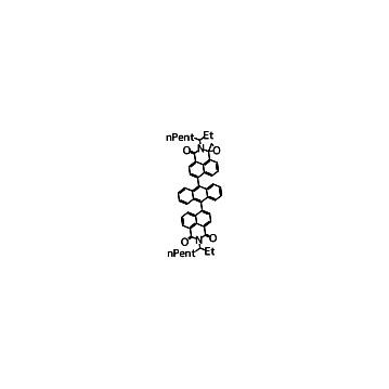 CCCCCC(CC)N1C(=O)c2cccc3c(-c4c5ccccc5c(-c5ccc6c7c(cccc57)C5(CO5)N(C(CC)CCCCC)C6=O)c5ccccc45)ccc(c23)C1=O